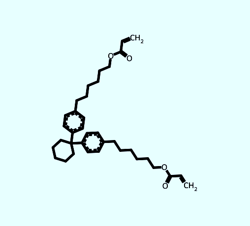 C=CC(=O)OCCCCCCc1ccc(C2(c3ccc(CCCCCCOC(=O)C=C)cc3)CCCCC2)cc1